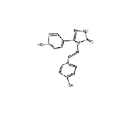 Oc1ccc(C=Nn2c(-c3ccc(O)cc3)n[nH]c2=S)cc1